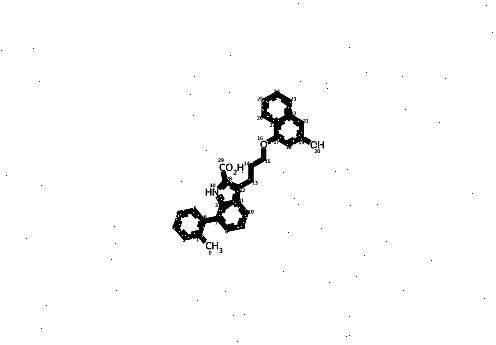 Cc1ccccc1-c1cccc2c(CCCOc3cc(O)cc4ccccc34)c(C(=O)O)[nH]c12